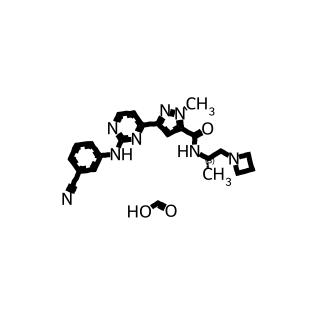 C[C@@H](CN1CCC1)NC(=O)c1cc(-c2ccnc(Nc3cccc(C#N)c3)n2)nn1C.O=CO